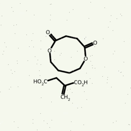 C=C(CC(=O)O)C(=O)O.O=C1CCC(=O)OCCCCO1